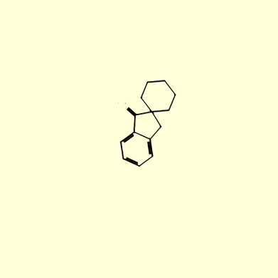 O=C1c2ccccc2CC12CCCCC2